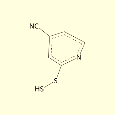 N#Cc1ccnc(SS)c1